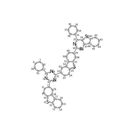 c1ccc(-c2nc(-c3ccc4sc5ccccc5c4c3)nc(-c3ccc4sc5cc(-c6nc(-c7ccccc7)c7sc8ccccc8c7n6)ccc5c4c3)n2)cc1